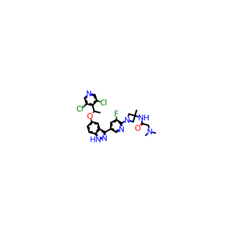 CC(Oc1ccc2[nH]nc(-c3cnc(N4CC(C)(NC(=O)CN(C)C)C4)c(F)c3)c2c1)c1c(Cl)cncc1Cl